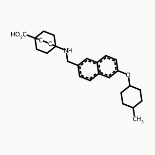 CC1CCC(Oc2ccc3cc(CNC45CCC(C(=O)O)(CC4)CC5)ccc3c2)CC1